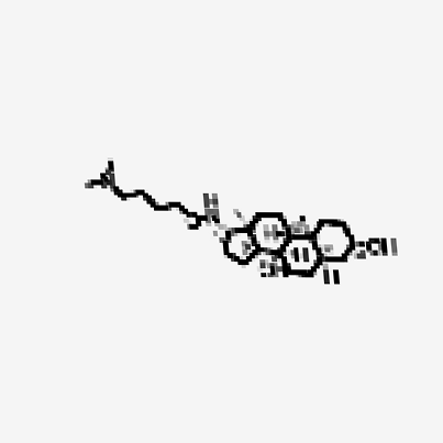 CN(C)CCCCON[C@H]1CC[C@]2(O)[C@@H]3CC[C@@H]4C[C@@H](O)CC[C@]4(C)[C@H]3CC[C@]12C